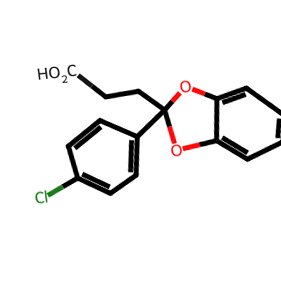 O=C(O)CCC1(c2ccc(Cl)cc2)Oc2ccccc2O1